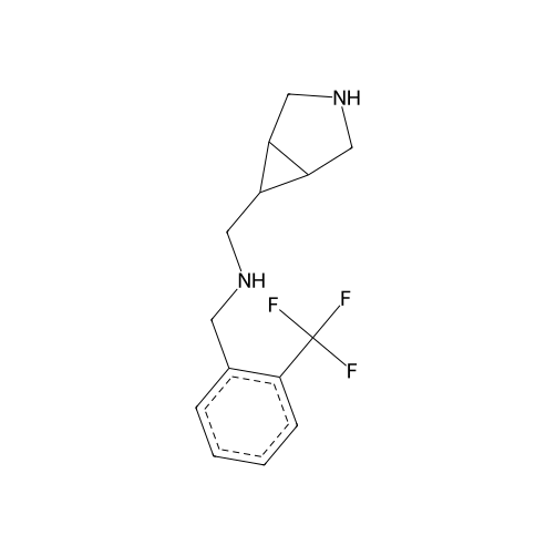 FC(F)(F)c1ccccc1CNCC1C2CNCC12